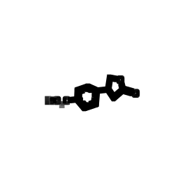 CCOC(=O)c1ccc(C2COC(=O)C2)cc1